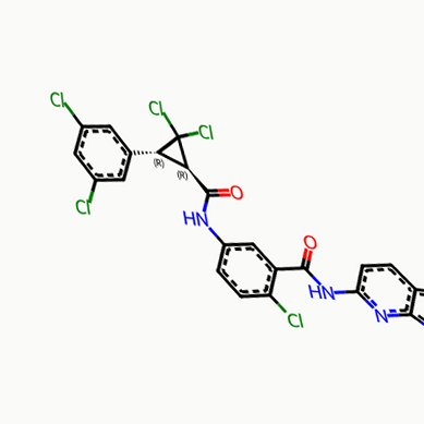 O=C(Nc1ccc2cc[nH]c2n1)c1cc(NC(=O)[C@H]2[C@H](c3cc(Cl)cc(Cl)c3)C2(Cl)Cl)ccc1Cl